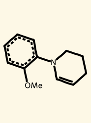 COc1ccccc1N1C=CCCC1